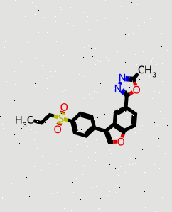 CCCS(=O)(=O)c1ccc(-c2coc3ccc(-c4nnc(C)o4)cc23)cc1